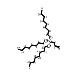 C=CC[Si](OCCCCCCCC)(OCCCCCCCC)OCCCCCCCC